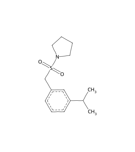 CC(C)c1cccc(CS(=O)(=O)N2CCCC2)c1